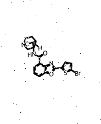 O=C(N[C@@H]1CN2CCC1CC2)c1cccc2oc(-c3ccc(Br)s3)nc12